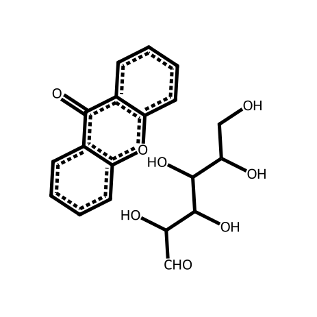 O=CC(O)C(O)C(O)C(O)CO.O=c1c2ccccc2oc2ccccc12